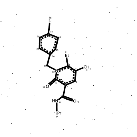 CCc1c(C)cc(C(=O)NC(C)C)c(=O)n1Cc1ccc(F)cc1